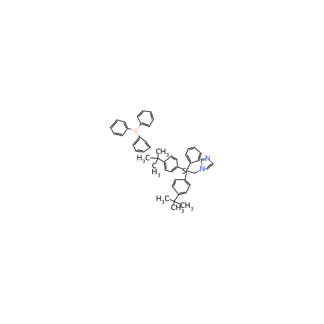 CC(C)(C)c1ccc([Si](Cn2ccnc2)(c2ccccc2)c2ccc(C(C)(C)C)cc2)cc1.c1ccc(B(c2ccccc2)c2ccccc2)cc1